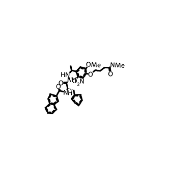 CNC(=O)CCCOc1cc([N+](=O)[O-])c(C(C)NNC(=O)[C@H](Cc2ccccc2)NC(=O)c2ccc3ccccc3c2)cc1OC